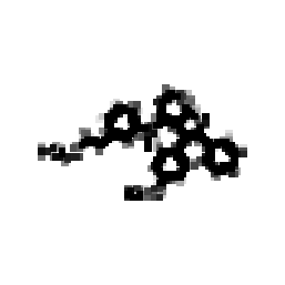 COc1ccc(-c2c(-c3ccccc3)oc3ncnc(Nc4cccc(C=CC(=O)O)c4)c23)cc1